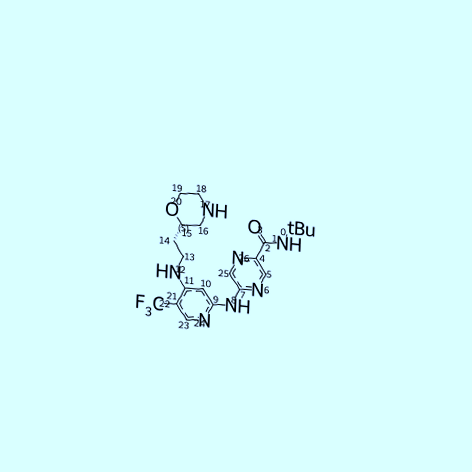 CC(C)(C)NC(=O)c1cnc(Nc2cc(NCC[C@H]3CNCCO3)c(C(F)(F)F)cn2)cn1